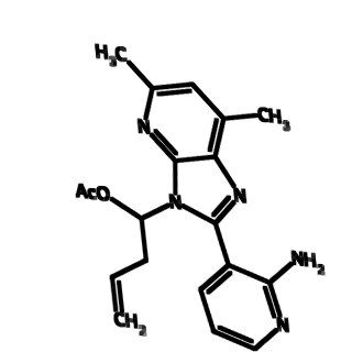 C=CCC(OC(C)=O)n1c(-c2cccnc2N)nc2c(C)cc(C)nc21